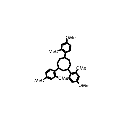 COc1ccc(C2CCC(c3ccc(OC)cc3OC)CC(c3ccc(OC)cc3OC)CC2)c(OC)c1